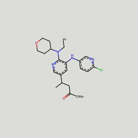 COC(=O)CC(C)c1cnc(N(CC(C)C)C2CCOCC2)c(Nc2ccc(Cl)nc2)c1